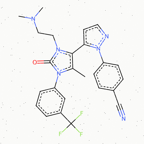 Cc1c(-c2ccnn2-c2ccc(C#N)cc2)n(CCN(C)C)c(=O)n1-c1cccc(C(F)(F)F)c1